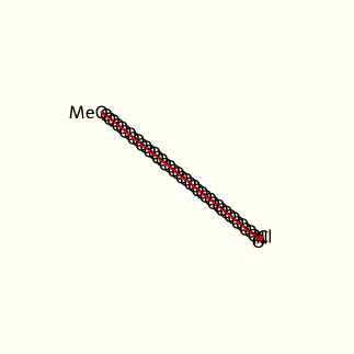 COCCOCCOCCOCCOCCOCCOCCOCCOCCOCCOCCOCCOCCOCCOCCOCCOCCOCCOCCOCCOCCOCCOCCOCCOCCOCCOCCOCCOCCOCCOCCOCCOCCOCCOCCOCCOCCOCCOCCN1C(=O)C(C)(C)N(Cl)C1(C)C